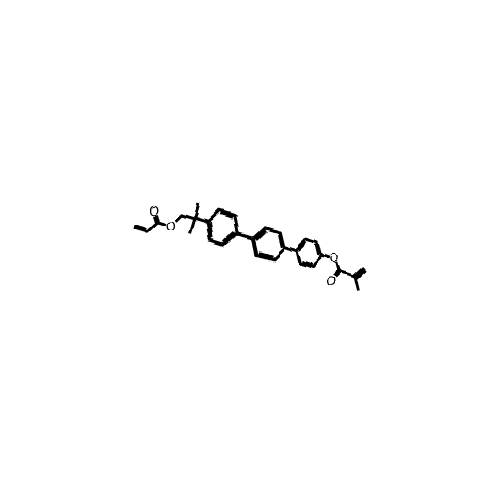 C=CC(=O)OCC(C)(C)c1ccc(-c2ccc(-c3ccc(OC(=O)C(=C)C)cc3)cc2)cc1